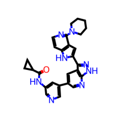 O=C(Nc1cncc(-c2cnc3[nH]nc(-c4cc5c(N6CCCCC6)nccc5[nH]4)c3c2)c1)C1CC1